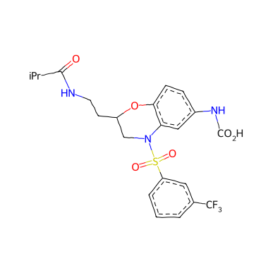 CC(C)C(=O)NCCC1CN(S(=O)(=O)c2cccc(C(F)(F)F)c2)c2cc(NC(=O)O)ccc2O1